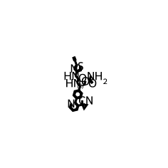 C#Cc1nc(NC(=O)N[C@@H](COC(N)=O)c2ccc(-c3ncccc3C3(C#N)CC3)cc2)cs1